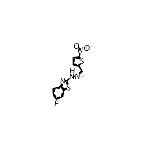 O=[N+]([O-])c1ccc(/C=N\Nc2nc3ccc(F)cc3s2)s1